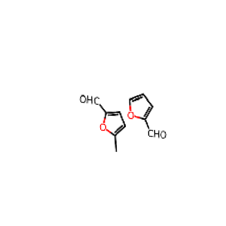 Cc1ccc(C=O)o1.O=Cc1ccco1